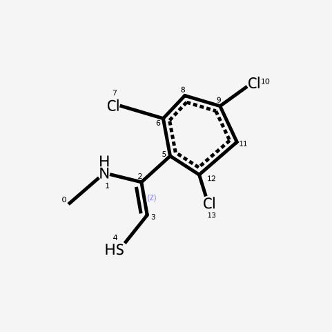 CN/C(=C\S)c1c(Cl)cc(Cl)cc1Cl